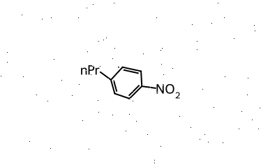 CCCc1[c]cc([N+](=O)[O-])cc1